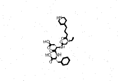 CCN(CC(=O)N[C@@H](CC(=O)O)C(=O)N[C@H](CC1CCCCC1)C(=O)O)C(=O)CCCC1CCNCC1